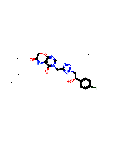 O=C1COc2ncn(Cc3nnn(C[C@H](O)c4ccc(Cl)cc4)n3)c(=O)c2N1